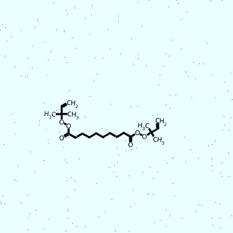 C=CC(C)(C)OOC(=O)CCCCCCCCC(=O)OOC(C)(C)C=C